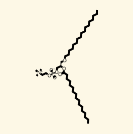 CCCCCCCCCCCCCCCCCOC[C@H](COP(=O)([O-])OCC[N+](C)(C)C)OC(=O)CCCCCCCCCCCCCCCC